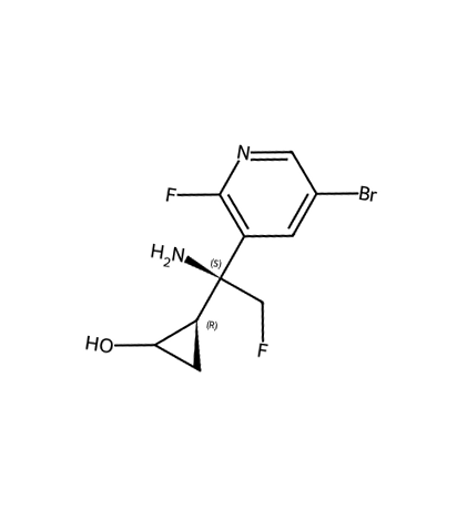 N[C@](CF)(c1cc(Br)cnc1F)[C@H]1CC1O